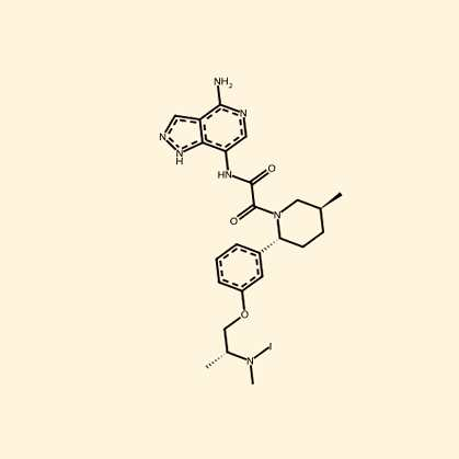 C[C@H]1CC[C@H](c2cccc(OC[C@@H](C)N(C)I)c2)N(C(=O)C(=O)Nc2cnc(N)c3cn[nH]c23)C1